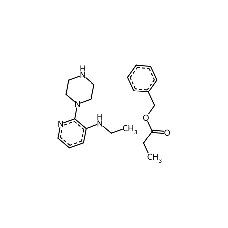 CCC(=O)OCc1ccccc1.CCNc1cccnc1N1CCNCC1